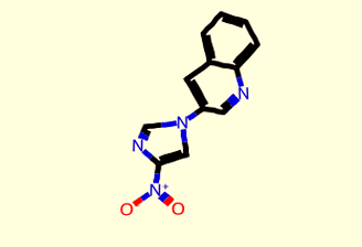 O=[N+]([O-])c1cn(-c2cnc3ccccc3c2)cn1